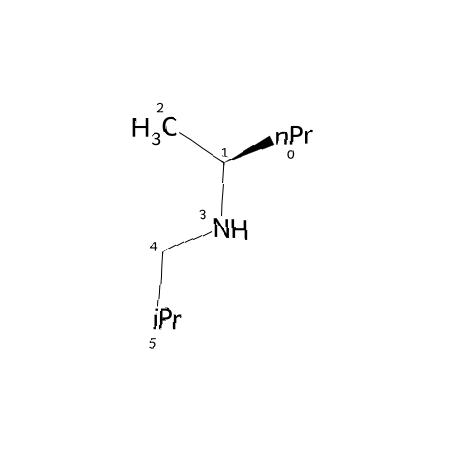 CCC[C@H](C)NCC(C)C